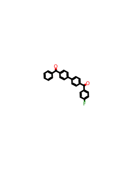 O=C(c1ccccc1)c1ccc(-c2ccc(C(=O)c3ccc(F)cc3)cc2)cc1